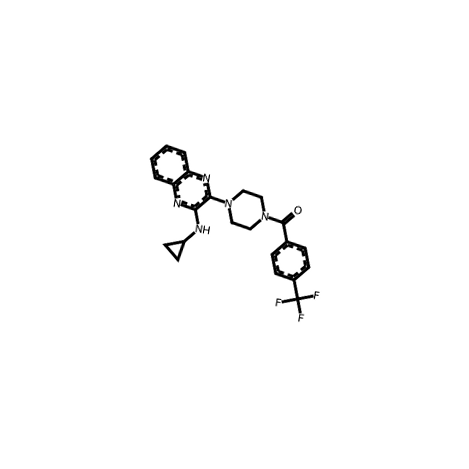 O=C(c1ccc(C(F)(F)F)cc1)N1CCN(c2nc3ccccc3nc2NC2CC2)CC1